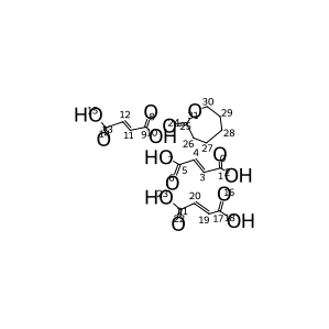 O=C(O)/C=C/C(=O)O.O=C(O)/C=C/C(=O)O.O=C(O)/C=C/C(=O)O.O=C1CCCCCO1